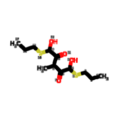 CCCSC(O)C(=O)C(C)C(=O)C(O)SCCC